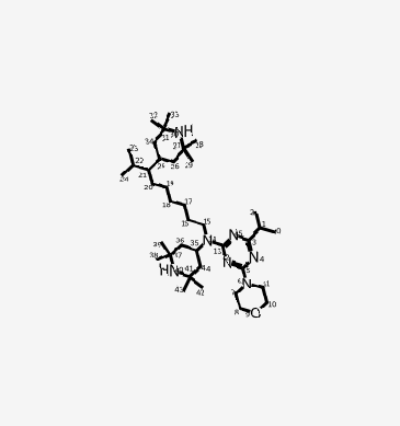 CC(C)c1nc(N2CCOCC2)nc(N(CCCCCCC(C(C)C)C2CC(C)(C)NC(C)(C)C2)C2CC(C)(C)NC(C)(C)C2)n1